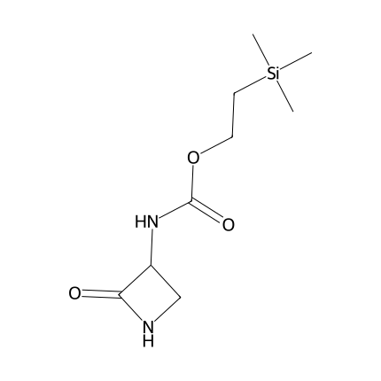 C[Si](C)(C)CCOC(=O)NC1CNC1=O